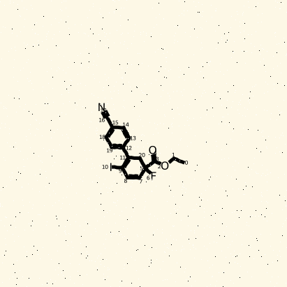 CCOC(=O)C1(F)C=CC(I)=C(c2ccc(C#N)cc2)C1